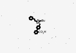 CCC(C)c1nc(CCc2ccccc2)nn1Cc1ccc(-c2ccccc2C(=O)O)cc1